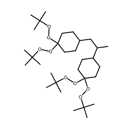 CC(CC1CCC(OOC(C)(C)C)(OOC(C)(C)C)CC1)C1CCC(OOC(C)(C)C)(OOC(C)(C)C)CC1